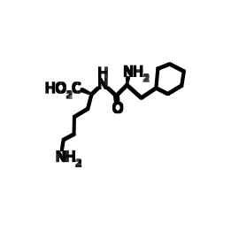 NCCCC[C@H](NC(=O)[C@@H](N)CC1CCCCC1)C(=O)O